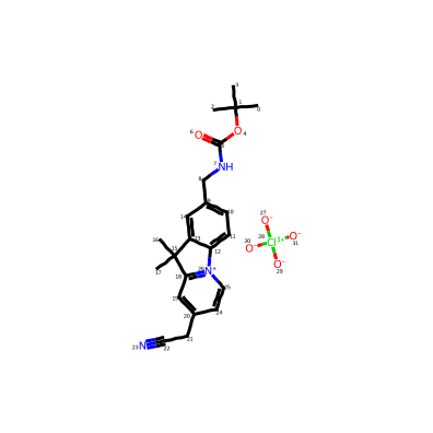 CC(C)(C)OC(=O)NCc1ccc2c(c1)C(C)(C)c1cc(CC#N)cc[n+]1-2.[O-][Cl+3]([O-])([O-])[O-]